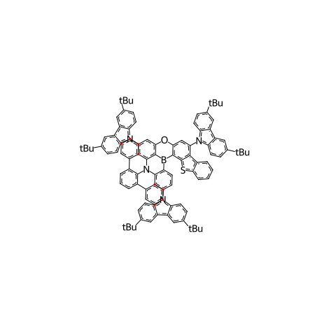 CC(C)(C)c1ccc2c(c1)c1cc(C(C)(C)C)ccc1n2-c1ccc2c(c1)N(c1c(-c3ccccc3)cccc1-c1ccccc1)c1cc(-n3c4ccc(C(C)(C)C)cc4c4cc(C(C)(C)C)ccc43)cc3c1B2c1c(cc(-n2c4ccc(C(C)(C)C)cc4c4cc(C(C)(C)C)ccc42)c2c1sc1ccccc12)O3